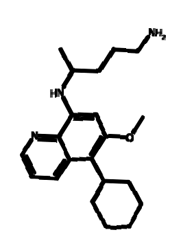 COc1cc(NC(C)CCCN)c2ncccc2c1C1CCCCC1